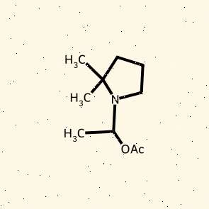 CC(=O)OC(C)N1CCCC1(C)C